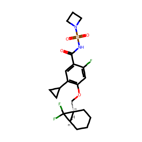 O=C(NS(=O)(=O)N1CCC1)c1cc(C2CC2)c(OC[C@]23CCCC[C@H]2C3(F)F)cc1F